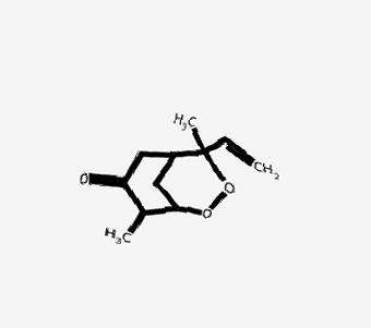 C=CC1(C)OOC2CC1CC(=O)C2C